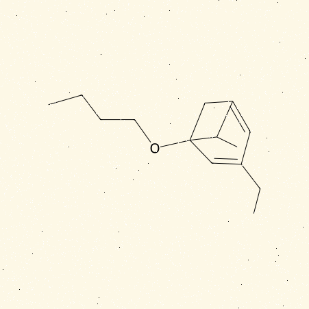 CCCCOC12C=C(CC)C=C(C1)C2C